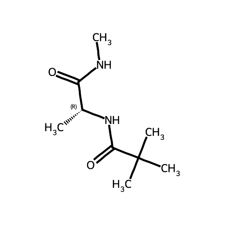 CNC(=O)[C@@H](C)NC(=O)C(C)(C)C